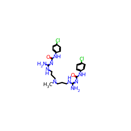 CN(CCCNC(N)=NC(=O)Nc1ccc(Cl)cc1)CCCNC(N)=NC(=O)Nc1ccc(Cl)cc1